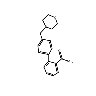 NC(=O)c1cccnc1-c1ccc(CN2CCOCC2)cc1